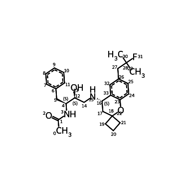 CC(=O)N[C@@H](Cc1ccccc1)[C@@H](O)CN[C@H]1CC2(CCC2)Oc2ccc(CC(C)(C)F)cc21